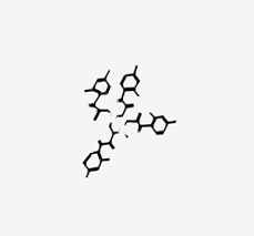 C=C(CN(CC(=C)C(=O)c1ccc(C)cc1C)CC(C(=C)C(=O)c1ccc(C)cc1C)N(C)CC(=C)C(=O)c1ccc(C)cc1C)C(=O)c1ccc(C)cc1C